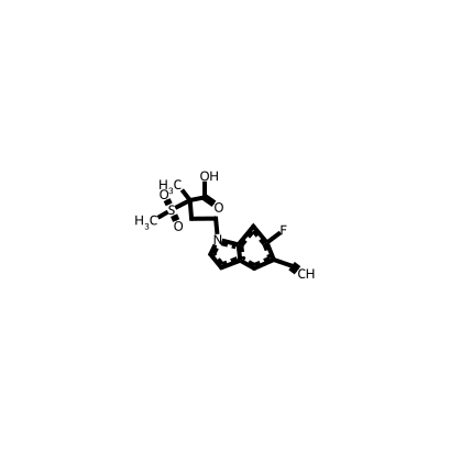 C#Cc1cc2ccn(CCC(C)(C(=O)O)S(C)(=O)=O)c2cc1F